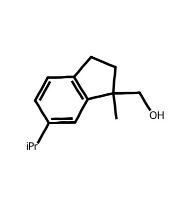 CC(C)c1ccc2c(c1)C(C)(CO)CC2